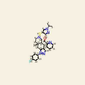 CC(C)n1cc(SN2CC[C@H]3Cc4c(cnn4-c4ccc(F)cc4)C[C@]3(C(=O)c3ccccn3)C2)cn1